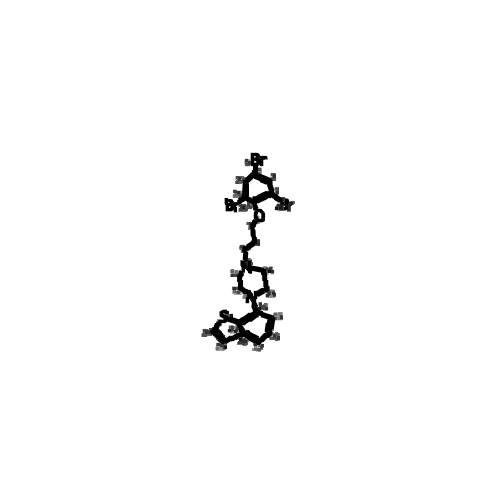 Brc1cc(Br)c(OCCCN2CCN(c3cccc4ccsc34)CC2)c(Br)c1